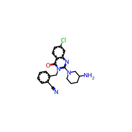 N#Cc1ccccc1Cn1c(N2CCCC(N)C2)nc2cc(Cl)ccc2c1=O